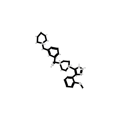 COc1ccccc1-c1nnoc1N1CCN(C(=O)c2cccc(CN3CCCCC3)c2)CC1